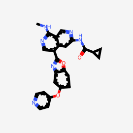 CNc1ncc(-c2nc3cc(Oc4ccncc4)ccc3o2)c2cc(NC(=O)C3CC3)ncc12